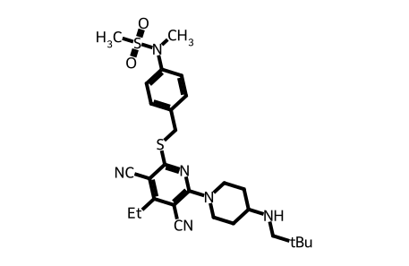 CCc1c(C#N)c(SCc2ccc(N(C)S(C)(=O)=O)cc2)nc(N2CCC(NCC(C)(C)C)CC2)c1C#N